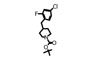 CC(C)(C)OC(=O)N1CCC(Cc2ccc(Cl)cc2F)CC1